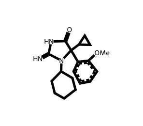 COc1ccccc1C1(C2CC2)C(=O)NC(=N)N1C1CCCCC1